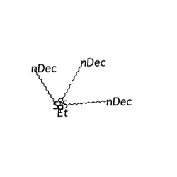 CCCCCCCCCCCCCCCCCCCCCCCCCCCCSc1cc(CC)cc(SCCCCCCCCCCCCCCCCCCCCCCCCCCCC)c1SCCCCCCCCCCCCCCCCCCCCCCCCCCCC